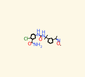 CO/N=C(/C)c1cccc(C(C)(C)NC(=O)Nc2ccc(Cl)c(C(N)=O)c2)c1